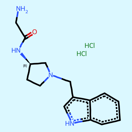 Cl.Cl.NCC(=O)N[C@@H]1CCN(Cc2c[nH]c3ccccc23)C1